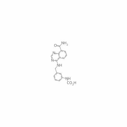 NC(=O)c1cccc2c(NCc3cccc(NC(=O)O)c3)ncnc12